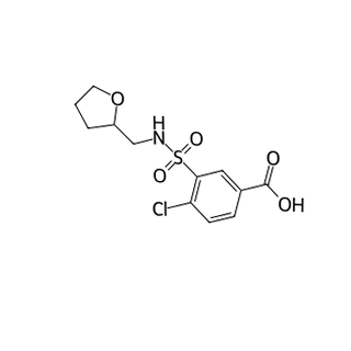 O=C(O)c1ccc(Cl)c(S(=O)(=O)NCC2CCCO2)c1